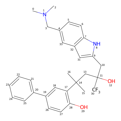 CN(C)Cc1ccc2[nH]c(CC(O)(CC(C)(C)c3cc(-c4ccccc4)ccc3O)C(F)(F)F)cc2c1